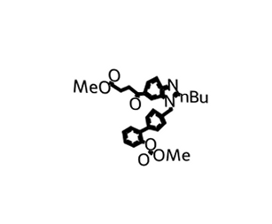 CCCCc1nc2ccc(C(=O)CCC(=O)OC)cc2n1Cc1ccc(-c2ccccc2OC(=O)OC)cc1